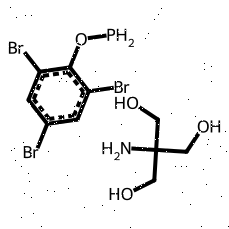 NC(CO)(CO)CO.POc1c(Br)cc(Br)cc1Br